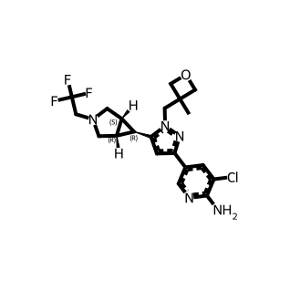 CC1(Cn2nc(-c3cnc(N)c(Cl)c3)cc2[C@H]2[C@@H]3CN(CC(F)(F)F)C[C@@H]32)COC1